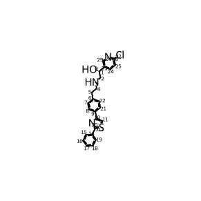 O[C@@H](CNCCc1ccc(-c2csc(-c3ccccc3)n2)cc1)c1ccc(Cl)nc1